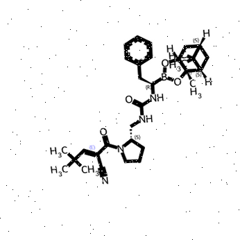 CC(C)(C)/C=C(\C#N)C(=O)N1CCC[C@H]1CNC(=O)N[C@@H](Cc1ccccc1)B1O[C@@H]2C[C@@H]3C[C@@H](C3(C)C)[C@]2(C)O1